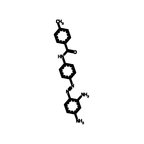 Cc1ccc(C(=O)Nc2ccc(/N=N/c3ccc(N)cc3N)cc2)cc1